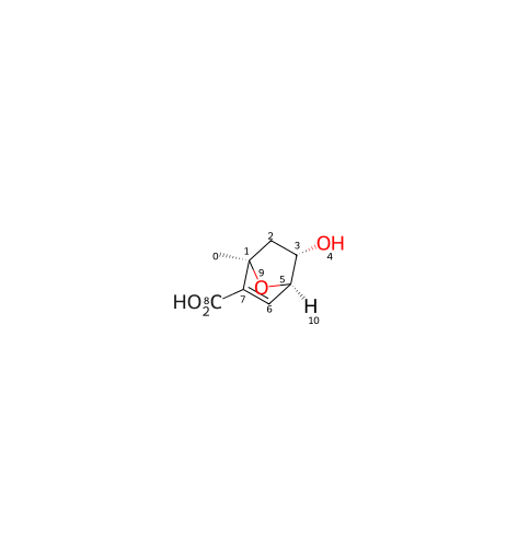 C[C@@]12C[C@H](O)[C@@H](C=C1C(=O)O)O2